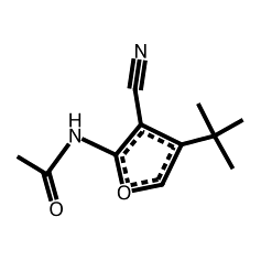 CC(=O)Nc1occ(C(C)(C)C)c1C#N